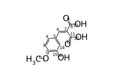 COc1ccc(C=C(C(=O)O)C(=O)O)cc1O